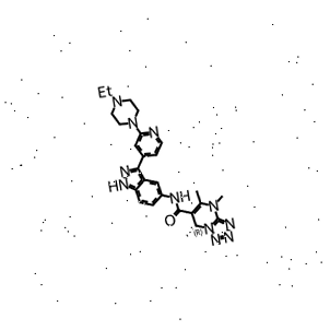 CCN1CCN(c2cc(-c3n[nH]c4ccc(NC(=O)C5=C(C)N(C)c6nnnn6[C@@H]5C)cc34)ccn2)CC1